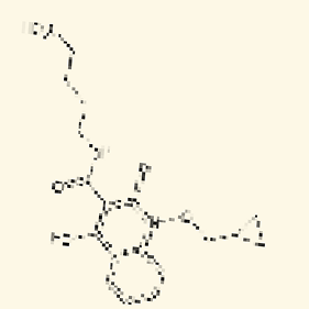 O=C(O)CCCCNC(=O)c1c(O)c2ccccc2n(OCC2CC2)c1=O